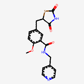 COc1ccc(CC2SC(=O)NC2=O)cc1C(=O)NCc1ccncc1